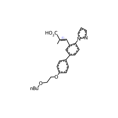 CCCCOCCOc1ccc(-c2ccc(-n3cccn3)c(/C=C(\C)C(=O)O)c2)cc1